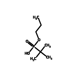 CCCOP(=O)(O)C(C)(C)C